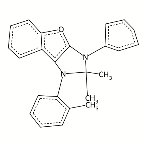 Cc1ccccc1N1c2c(oc3ccccc23)N(c2ccccc2)C1(C)C